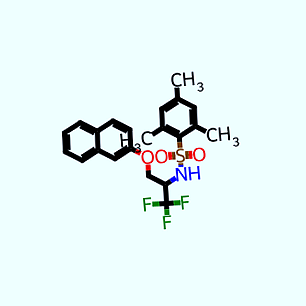 Cc1cc(C)c(S(=O)(=O)NC(COc2ccc3ccccc3c2)C(F)(F)F)c(C)c1